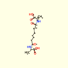 CC(NC(=O)CCCCCCC(=O)NC(C)C(=O)O)C(=O)O